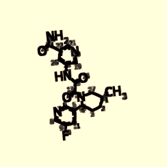 C[C@@H]1CC[C@@H](c2cncc(F)c2)N(C(=O)C(=O)Nc2cncc(C(N)=O)c2)C1